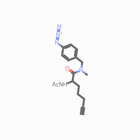 C#CCCCC(NC(C)=O)C(=O)N(C)Cc1ccc(N=[N+]=[N-])cc1